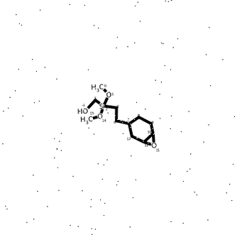 CO[Si](CO)(CCC1CCC2OC2C1)OC